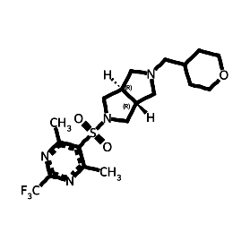 Cc1nc(C(F)(F)F)nc(C)c1S(=O)(=O)N1C[C@H]2CN(CC3CCOCC3)C[C@@H]2C1